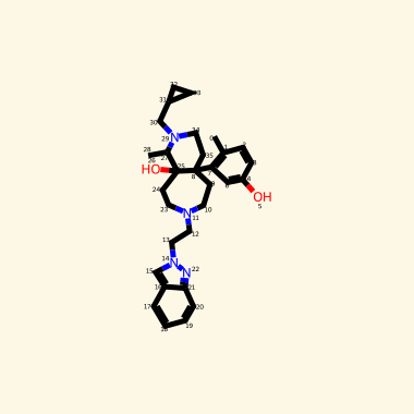 Cc1ccc(O)cc1C12CCN(CCn3cc4ccccc4n3)CCC1(O)C(C)N(CC1CC1)CC2